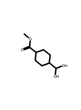 COC(=O)C1CCC(C(O)O)CC1